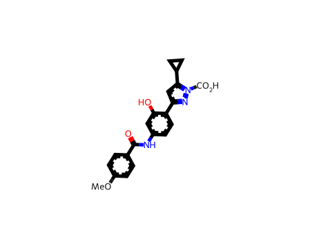 COc1ccc(C(=O)Nc2ccc(-c3cc(C4CC4)n(C(=O)O)n3)c(O)c2)cc1